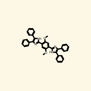 COc1cc(-c2nc(-c3ccccc3)c(-c3ccccc3)[nH]2)c(OC)cc1-c1nc(-c2ccccc2)c(-c2ccccc2)[nH]1